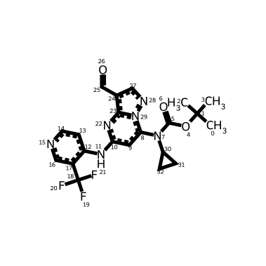 CC(C)(C)OC(=O)N(c1cc(Nc2ccncc2C(F)(F)F)nc2c(C=O)cnn12)C1CC1